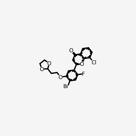 O=c1cc(-c2cc(OCCC3OCCO3)c(Br)cc2F)oc2c(Cl)cccc12